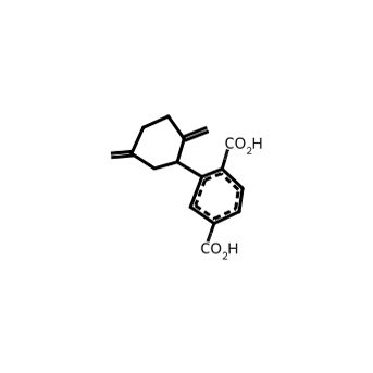 C=C1CCC(=C)C(c2cc(C(=O)O)ccc2C(=O)O)C1